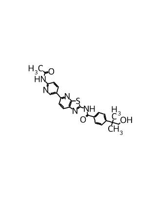 CC(=O)Nc1ccc(-c2ccc3nc(NC(=O)c4ccc(C(C)(C)CO)cc4)sc3n2)cn1